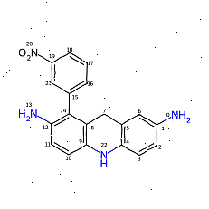 Nc1ccc2c(c1)Cc1c(ccc(N)c1-c1cccc([N+](=O)[O-])c1)N2